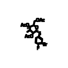 CC(=O)OCC1O[C@H](Sc2ccc(F)c(Br)c2)C(OC(C)=O)C(C)[C@H]1OC(C)=O